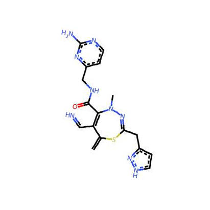 C=C1SC(Cc2cc[nH]n2)=NN(C)C(C(=O)NCc2ccnc(N)n2)=C1C=N